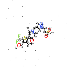 COCc1c(C(F)F)sc2c1CCO[C@@]21CCN(Cc2cnn(CCS(C)(=O)=O)c2)[C@@H](C)C1